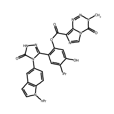 CCCn1ccc2cc(-n3c(-c4cc(C(C)C)c(O)cc4OC(=O)c4ncn5c(=O)n(C)nnc45)n[nH]c3=O)ccc21